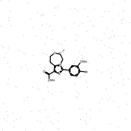 COC(=O)c1nc(-c2ccc(Br)c(OC)c2)n2c1CCO[C@H](C)C2